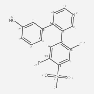 CS(=O)(=O)c1cc(F)c(-c2cnccc2-c2cccc(C#N)c2)cc1F